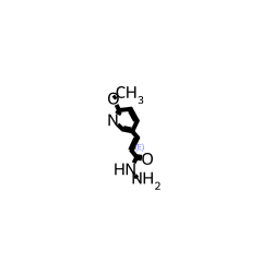 COc1ccc(/C=C/C(=O)NN)cn1